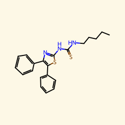 CCCCCNC(=S)Nc1nc(-c2ccccc2)c(-c2ccccc2)s1